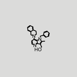 Cc1c(CO)c2nccc(N3CCc4ccccc4C3)c2n1Cc1ccccc1